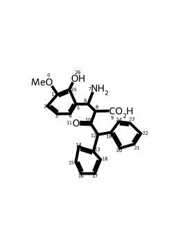 COc1cccc(C(N)C(C(=O)O)C(=O)C(c2ccccc2)c2ccccc2)c1O